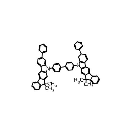 CC1(C)c2ccccc2-c2cc3c4c(n(-c5ccc(-c6ccc(-n7c8cc(-c9ccccc9)ccc8c8cc9c(cc87)C(C)(C)c7ccccc7-9)cc6)cc5)c3cc21)CC(c1ccccc1)C=C4